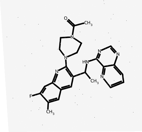 CC(=O)N1CCN(c2nc3cc(F)c(C)cc3cc2C(C)Nc2ncnc3cccnc23)CC1